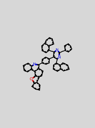 c1ccc(-c2nc(-c3cccc4ccccc34)c(-c3ccc(-c4nc5ccccc5c5c4ccc4c6ccccc6oc45)cc3)c(-c3cccc4ccccc34)n2)cc1